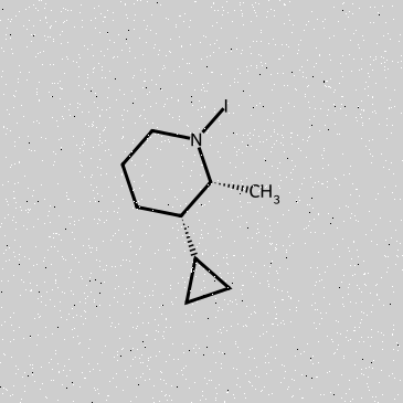 C[C@@H]1[C@H](C2CC2)CCCN1I